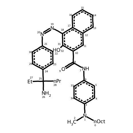 CCCCCCCCN(C)c1ccc(NC(=O)c2cc3ccccc3c(/N=N\c3ccc(C(N)(CC)CCC)cc3)c2O)cc1